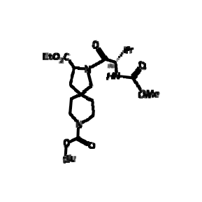 CCOC(=O)C1CC2(CCN(C(=O)OC(C)(C)C)CC2)CN1C(=O)[C@@H](NC(=O)OC)C(C)C